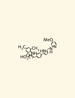 COc1ccnc(NCc2ccc(-c3ccc(CC(Nc4c(C)cc(C)cc4C)C(=O)O)cc3)[nH]2)c1